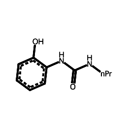 CCCNC(=O)Nc1ccccc1O